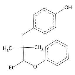 CCC(Oc1ccccc1)C(C)(C)Cc1ccc(O)cc1